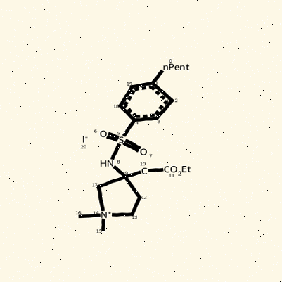 CCCCCc1ccc(S(=O)(=O)NC2(CC(=O)OCC)CC[N+](C)(C)C2)cc1.[I-]